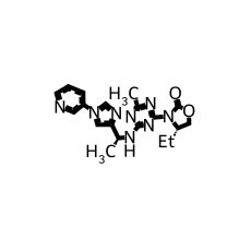 CC[C@H]1COC(=O)N1c1nc(C)nc(N[C@@H](C)c2cn(-c3cccnc3)cn2)n1